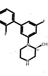 C[C@H]1CNCCN1c1cc(F)cc(-c2ccccc2F)c1